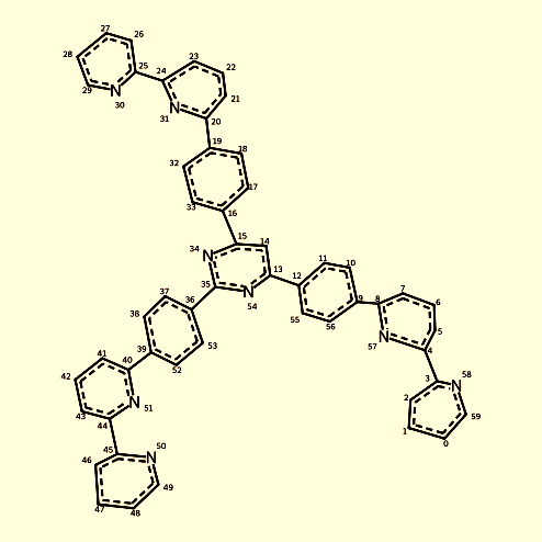 c1ccc(-c2cccc(-c3ccc(-c4cc(-c5ccc(-c6cccc(-c7ccccn7)n6)cc5)nc(-c5ccc(-c6cccc(-c7ccccn7)n6)cc5)n4)cc3)n2)nc1